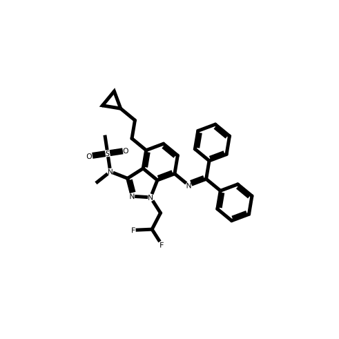 CN(c1nn(CC(F)F)c2c(N=C(c3ccccc3)c3ccccc3)ccc(CCC3CC3)c12)S(C)(=O)=O